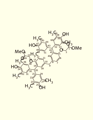 COC(=O)COc1ccc(Cc2ccc(OCC(=O)OC)c(C(c3cc(C)c(O)c(C)c3)c3cc(C)c(O)c(C)c3)c2)cc1C(c1cc(C)c(O)c(C)c1)c1cc(C)c(O)c(C)c1